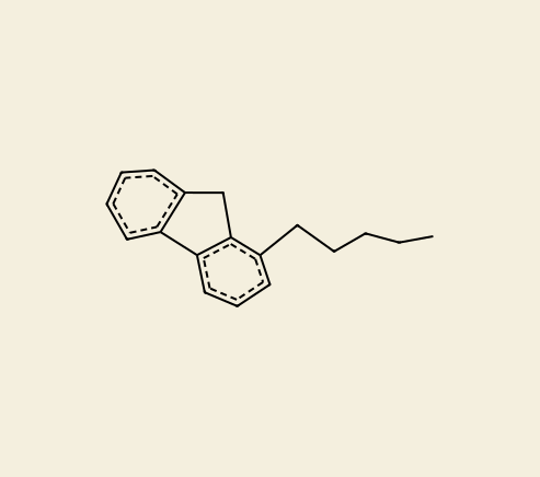 CCCCCc1cccc2c1Cc1ccccc1-2